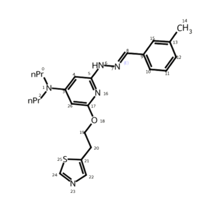 CCCN(CCC)c1cc(N/N=C/c2cccc(C)c2)nc(OCCc2cncs2)c1